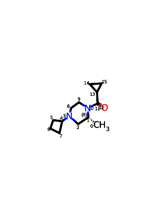 C[C@@H]1CN(C2CCC2)CCN1C(=O)C1CC1